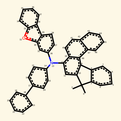 CC1(C)c2ccccc2-c2c1cc(N(c1ccc(-c3ccccc3)cc1)c1ccc3c(c1)oc1ccccc13)c1ccc3ccccc3c21